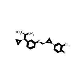 C[C@H](C(=O)O)[C@H](c1cccc(OC[C@H]2C[C@@H]2c2ccc(F)c(C(F)(F)F)c2)c1)C1CC1